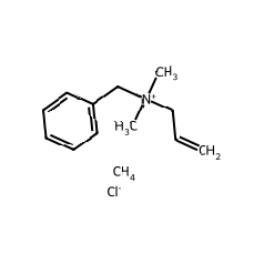 C.C=CC[N+](C)(C)Cc1ccccc1.[Cl-]